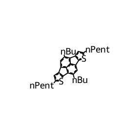 CCCCCc1cc2c(s1)-c1cc(CCCC)c3c4c(cc(CCCC)c-2c14)-c1cc(CCCCC)sc1-3